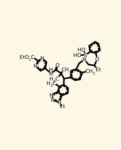 CCOC(=O)c1ncc(NC(=O)C(C)(C)C(c2ccc(C)c(CN3CC(CC)Oc4ccccc4S3(O)O)c2)c2ccc3c(nnn3CC)c2C)cn1